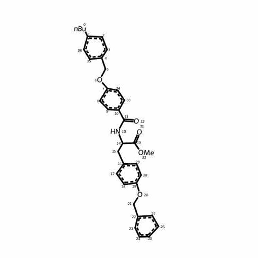 CCCCc1ccc(COc2ccc(C(=O)NC(Cc3ccc(OCc4ccccc4)cc3)C(=O)OC)cc2)cc1